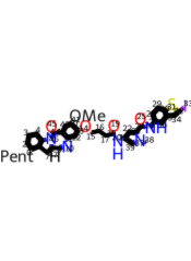 CCCC(C)c1cccc2c1C[C@H]1C=Nc3cc(OCCCC(=O)Nc4cc(C(=O)Nc5ccc6sc(I)cc6c5)n(C)c4)c(OC)cc3C(=O)N21